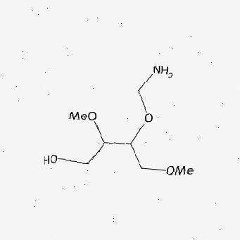 COCC(OCN)C(CO)OC